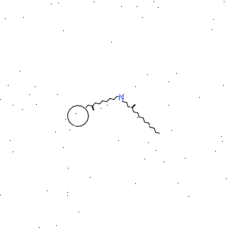 C=C(CCCCCCCCCC)CCCN(C)CCCCCCCC(=C)CC1CCCCCCCCCCCCCC1